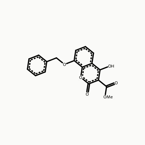 COC(=O)c1c(O)c2cccc(OCc3ccccc3)c2oc1=O